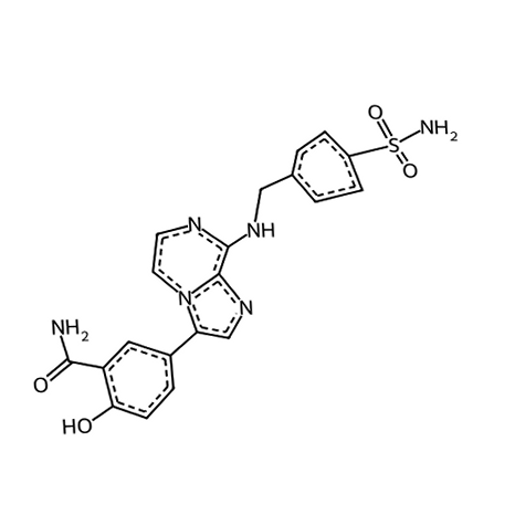 NC(=O)c1cc(-c2cnc3c(NCc4ccc(S(N)(=O)=O)cc4)nccn23)ccc1O